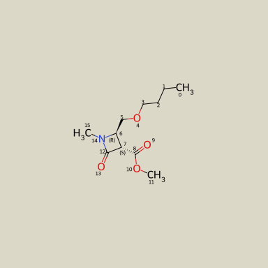 CCCCOC[C@H]1[C@H](C(=O)OC)C(=O)N1C